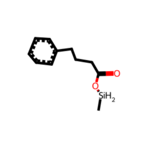 C[SiH2]OC(=O)CCCc1ccccc1